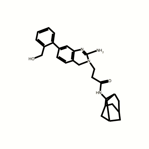 NC1=Nc2cc(-c3ccccc3CO)ccc2CN1CCC(=O)NC1C2CC3CC(C2)CC1C3